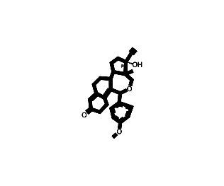 C#C[C@]1(O)CCC2C3CCC4=CC(=O)CCC4=C3C(c3ccc(OC)cc3)OCC21C